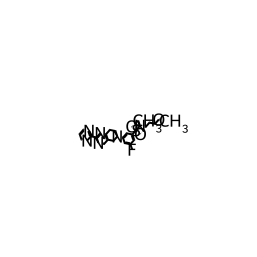 COCCCN(C)S(=O)(=O)c1cc(F)cc(N2CCc3nc(-c4ncccn4)ncc3C2)c1